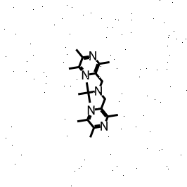 Cc1nc(C)c(CN(Cc2nc(C)c(C)nc2C)C(C)(C)C)nc1C